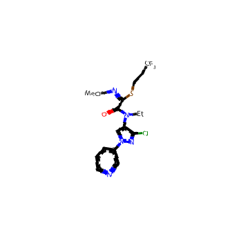 CCN(C(=O)/C(=N\OC)SCCC(F)(F)F)c1cn(-c2cccnc2)nc1Cl